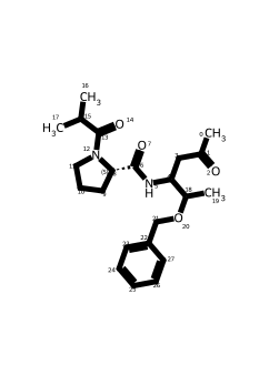 CC(=O)CC(NC(=O)[C@@H]1CCCN1C(=O)C(C)C)C(C)OCc1ccccc1